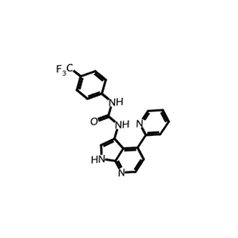 O=C(Nc1ccc(C(F)(F)F)cc1)Nc1c[nH]c2nccc(-c3ccccn3)c12